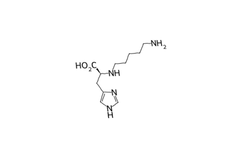 NCCCCCN[C@@H](Cc1c[nH]cn1)C(=O)O